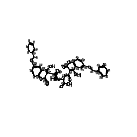 O=C(NC(NC(=O)c1c(O)c2cc(OCc3ccccc3)ccc2oc1=O)C(=O)O)c1c(O)c2cc(OCc3ccccc3)ccc2oc1=O